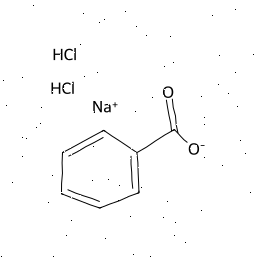 Cl.Cl.O=C([O-])c1ccccc1.[Na+]